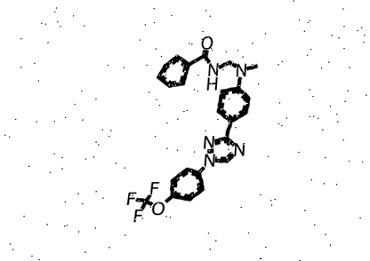 CN(CNC(=O)c1ccccc1)c1ccc(-c2ncn(-c3ccc(OC(F)(F)F)cc3)n2)cc1